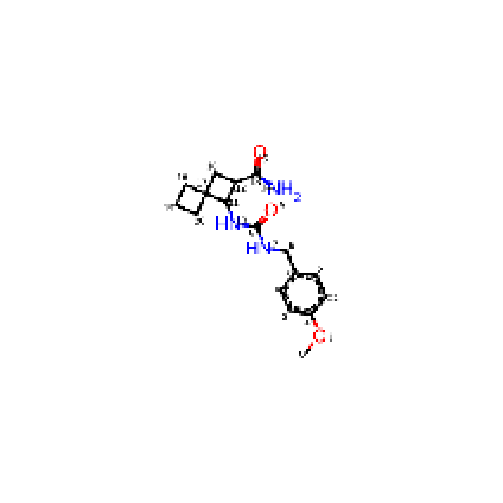 COc1ccc(CNC(=O)NC2C(C(N)=O)CC23CCC3)cc1